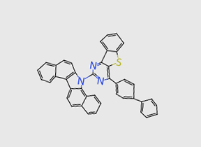 c1ccc(-c2ccc(-c3nc(-n4c5ccc6ccccc6c5c5ccc6ccccc6c54)nc4c3sc3ccccc34)cc2)cc1